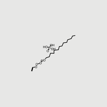 C=COOOOOCCCCCCCCCCCCCC.O=P(O)(O)O